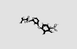 Cc1c(Oc2ccnc(NC(=O)C(C)C)c2)ccc([N+](=O)[O-])c1C